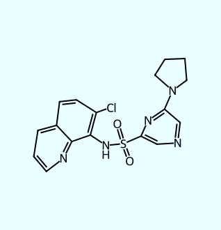 O=S(=O)(Nc1c(Cl)ccc2cccnc12)c1cncc(N2CCCC2)n1